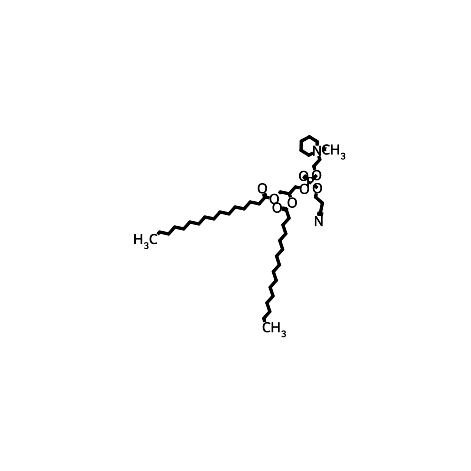 CCCCCCCCCCCCCCCC(=O)OCC(COP(=O)(OCCC#N)OCC[N+]1(C)CCCCC1)OC(=O)CCCCCCCCCCCCCCC